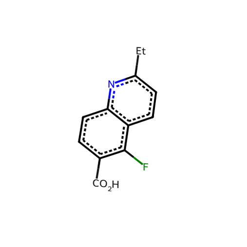 CCc1ccc2c(F)c(C(=O)O)ccc2n1